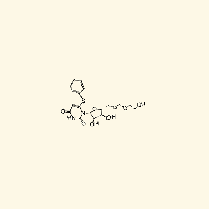 O=c1cc(Sc2ccccc2)n([C@@H]2O[C@H](COCOCCO)[C@@H](O)[C@H]2O)c(=O)[nH]1